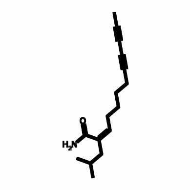 CC#CC#CCCCCC=C(CC(C)C)C(N)=O